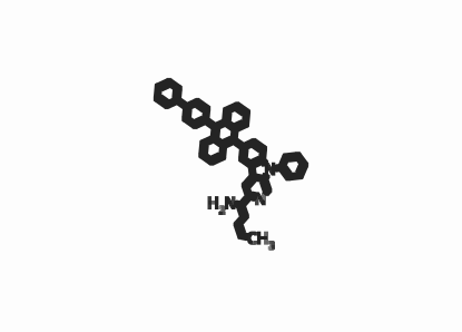 C/C=C\C=C(/N)c1cc2c3cc(-c4c5ccccc5c(-c5ccc(-c6ccccc6)cc5)c5ccccc45)ccc3n(-c3ccccc3)c2cn1